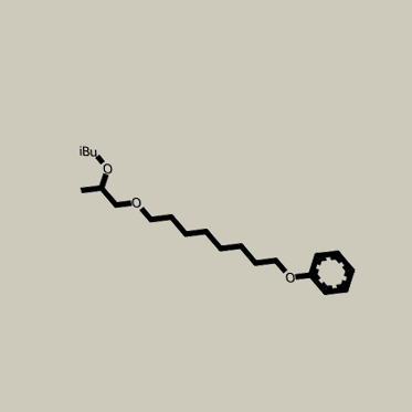 CCC(C)OC(C)COCCCCCCCCOc1ccccc1